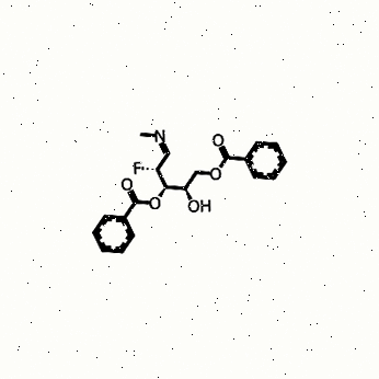 C/N=C\[C@@H](F)[C@H](OC(=O)c1ccccc1)[C@H](O)COC(=O)c1ccccc1